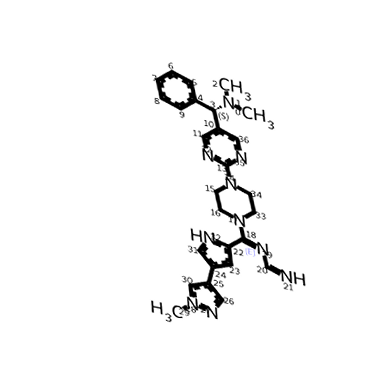 CN(C)[C@@H](c1ccccc1)c1cnc(N2CCN(/C(=N/C=N)c3cc(-c4cnn(C)c4)c[nH]3)CC2)nc1